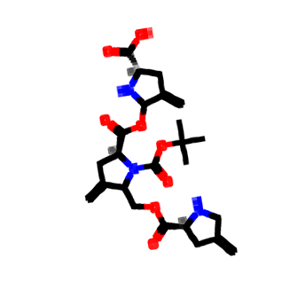 C=C1CN[C@H](C(=O)OCC2C(=C)C[C@@H](C(=O)OC3N[C@H](C(=O)O)CC3=C)N2C(=O)OC(C)(C)C)C1